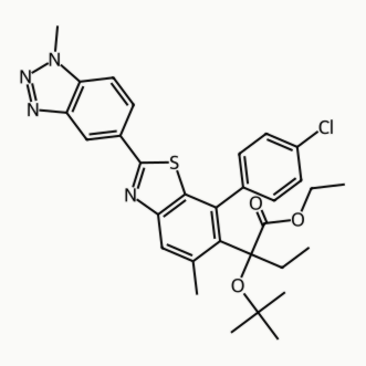 CCOC(=O)C(CC)(OC(C)(C)C)c1c(C)cc2nc(-c3ccc4c(c3)nnn4C)sc2c1-c1ccc(Cl)cc1